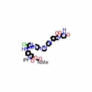 CNC(=O)COc1cc2cc(Nc3nc(N4CCC(N5CCCN(C6CCN(c7ccc8c(c7)CN(C7CCC(=O)NC7=O)C8=O)CC6)C5)CC4)ncc3Cl)ccc2n(C(C)C)c1=O